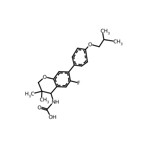 CC(C)COc1ccc(-c2cc3c(cc2F)C(NC(=O)O)C(C)(C)CO3)cc1